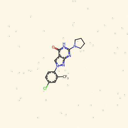 O=c1[nH]c(N2CCCC2)nc2nn(-c3ccc(Cl)cc3C(F)(F)F)cc12